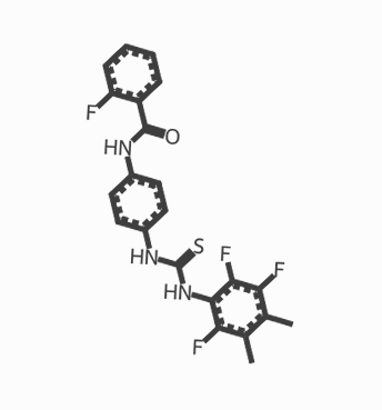 Cc1c(C)c(F)c(NC(=S)Nc2ccc(NC(=O)c3ccccc3F)cc2)c(F)c1F